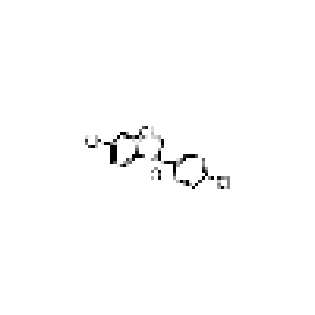 O=P(CCl)(c1ccc(Cl)cc1)c1ccc(Cl)cc1